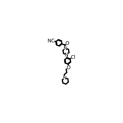 N#Cc1ccc(C(=O)N2CCN(c3ccc(OCCCN4CCCCC4)cc3Cl)CC2)cc1